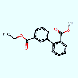 CCOC(=O)c1cccc(-c2[c]cccc2C(=O)OC)c1